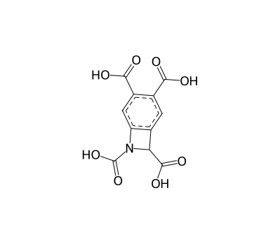 O=C(O)c1cc2c(cc1C(=O)O)N(C(=O)O)C2C(=O)O